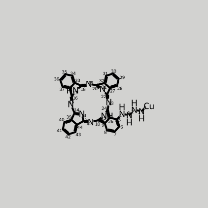 [Cu][NH]NNNc1cccc2c3nc4nc(nc5[nH]c(nc6nc(nc([nH]3)c12)-c1ccccc1-6)c1ccccc51)-c1ccccc1-4